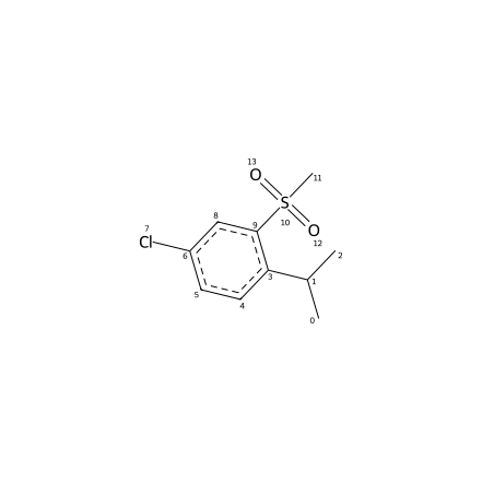 CC(C)c1ccc(Cl)cc1S(C)(=O)=O